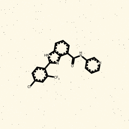 O=C(Nc1cccnc1)c1cccc2[nH]c(-c3ccc(Cl)cc3C(F)(F)F)nc12